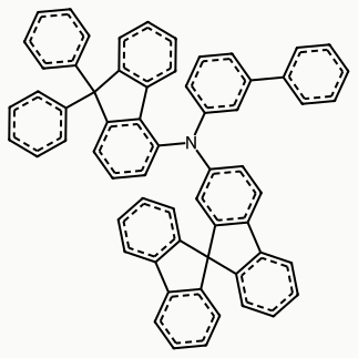 c1ccc(-c2cccc(N(c3ccc4c(c3)C3(c5ccccc5-c5ccccc53)c3ccccc3-4)c3cccc4c3-c3ccccc3C4(c3ccccc3)c3ccccc3)c2)cc1